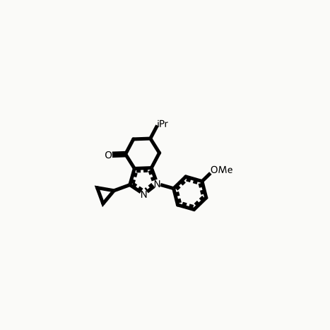 COc1cccc(-n2nc(C3CC3)c3c2CC(C(C)C)CC3=O)c1